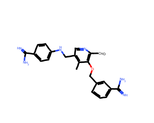 Cc1c(CNc2ccc(C(=N)N)cc2)cnc(C=O)c1OCc1cccc(C(=N)N)c1